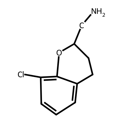 NCC1CCc2cccc(Cl)c2O1